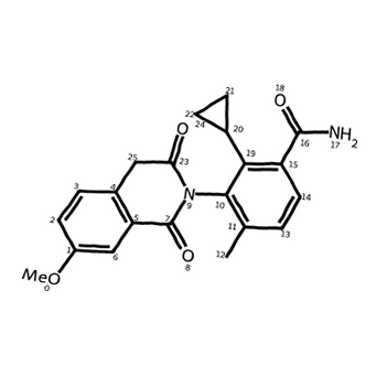 COc1ccc2c(c1)C(=O)N(c1c(C)ccc(C(N)=O)c1C1CC1)C(=O)C2